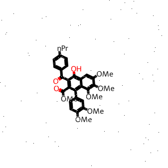 CCCc1ccc(C(=O)c2c(C(=O)OC)c(-c3ccc(OC)c(OC)c3)c3c(OC)c(OC)c(OC)cc3c2O)cc1